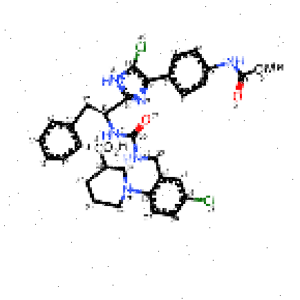 COC(=O)Nc1ccc(-c2nc([C@H](Cc3ccccc3)NC(=O)NCc3cc(Cl)ccc3N3CCCC(C(=O)O)C3)[nH]c2Cl)cc1